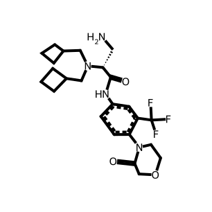 NC[C@H](C(=O)Nc1ccc(N2CCOCC2=O)c(C(F)(F)F)c1)N(CC1CCC1)CC1CCC1